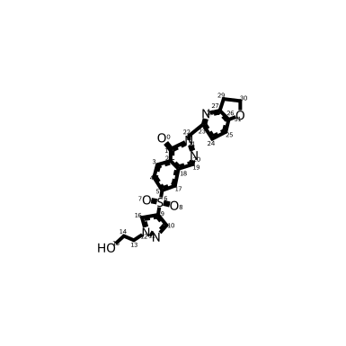 O=c1c2ccc(S(=O)(=O)c3cnn(CCO)c3)cc2cnn1Cc1ccc2c(n1)CCO2